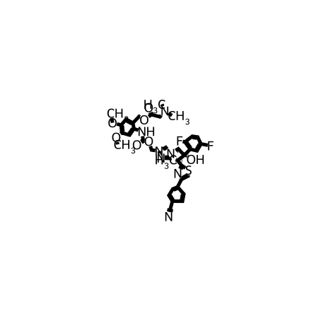 COc1cc(COC(=O)CN(C)C)c(NC(=O)OCn2c[n+](C[C@](O)(c3cc(F)ccc3F)[C@@H](C)c3nc(-c4ccc(C#N)cc4)cs3)cn2)cc1OC